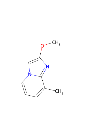 COc1cn2cccc(C)c2n1